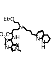 CCOCCN(CCCCc1ccc2c(n1)NCCC2)CCC(Nc1ncnc2cn(C)nc12)C(=O)O